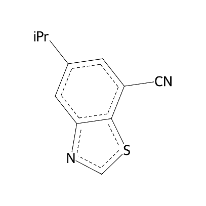 CC(C)c1cc(C#N)c2scnc2c1